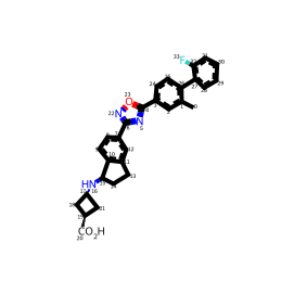 Cc1cc(-c2nc(-c3ccc4c(c3)CCC4N[C@H]3C[C@H](C(=O)O)C3)no2)ccc1-c1ccccc1F